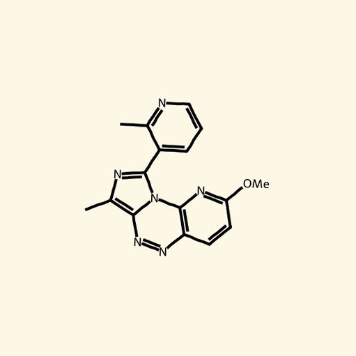 COc1ccc2nnc3c(C)nc(-c4cccnc4C)n3c2n1